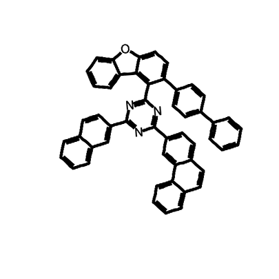 c1ccc(-c2ccc(-c3ccc4oc5ccccc5c4c3-c3nc(-c4ccc5ccccc5c4)nc(-c4ccc5ccc6ccccc6c5c4)n3)cc2)cc1